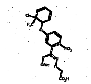 COCC(=NOCC(=O)O)c1cc(OC2C=CC=CC2(Cl)C(F)(F)F)ccc1[N+](=O)[O-]